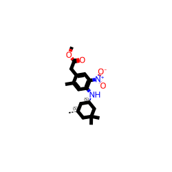 COC(=O)Cc1cc([N+](=O)[O-])c(N[C@H]2C[C@@H](C)CC(C)(C)C2)cc1C